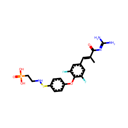 C/C(=C\c1cc(F)c(Oc2ccc(SNCCP(=O)(O)O)cc2)c(F)c1)C(=O)N=C(N)N